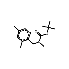 Cc1cnc(CN(C)C(=O)OC(C)(C)C)c(C)c1